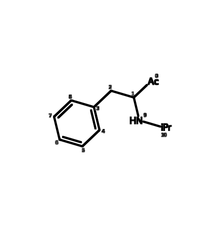 CC(=O)C(Cc1ccccc1)NC(C)C